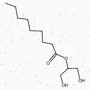 CCCCCCCCC(=O)OC(CO)CO